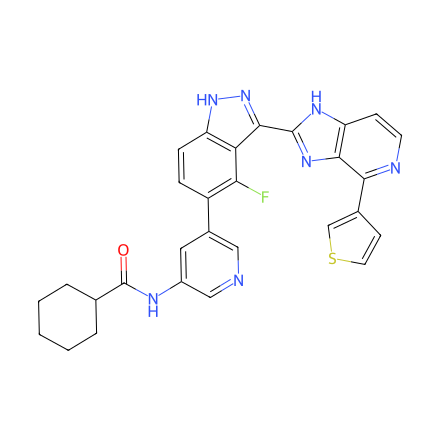 O=C(Nc1cncc(-c2ccc3[nH]nc(-c4nc5c(-c6ccsc6)nccc5[nH]4)c3c2F)c1)C1CCCCC1